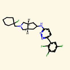 Fc1cc(F)c(F)c(-c2ccc(NC3C[C@@H]4CN(CC5(F)CCCCC5)C[C@@H]4C3)nn2)c1